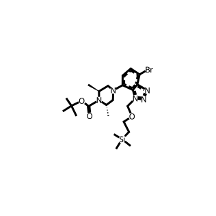 C[C@H]1CN(c2ccc(Br)c3nnn(COCC[Si](C)(C)C)c23)C[C@H](C)N1C(=O)OC(C)(C)C